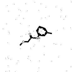 COCC(=O)Nc1cccc(C)c1